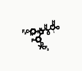 C[C@H]1C(=O)NC[C@@H]1C(=O)Nc1cc(-c2cc(F)cc(OC(C)(C)C(F)(F)F)c2)n(-c2ccc(C(F)(F)F)nc2)n1